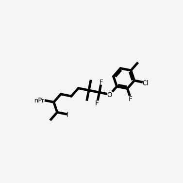 CCCC(CCCC(C)(C)C(F)(F)Oc1ccc(C)c(Cl)c1F)C(C)I